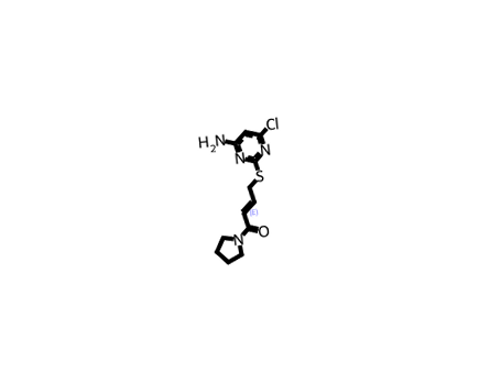 Nc1cc(Cl)nc(SC/C=C/C(=O)N2CCCC2)n1